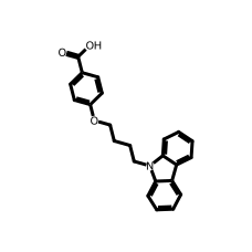 O=C(O)c1ccc(OCCCCn2c3ccccc3c3ccccc32)cc1